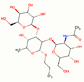 CCCO[C@@H]1OC(C)[C@H](O)[C@H](O[C@H]2O[C@@H](CO)[C@@H](O)C(O)C2O)C1O[C@@H]1OC(CO)[C@@H](O)C(O)[C@@H]1NC(C)=O